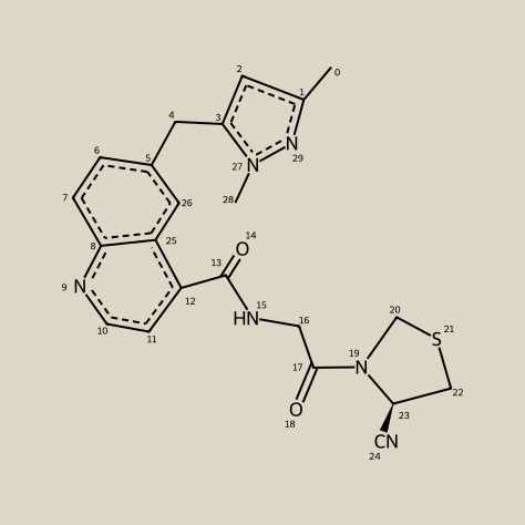 Cc1cc(Cc2ccc3nccc(C(=O)NCC(=O)N4CSC[C@H]4C#N)c3c2)n(C)n1